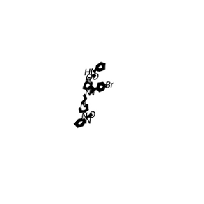 Cn1c(=O)n(C2CCN(CCCn3nc(-c4ccc(Br)cc4)c4c3CCN(OC(=O)Nc3ccccc3)C4)CC2)c2ccccc21